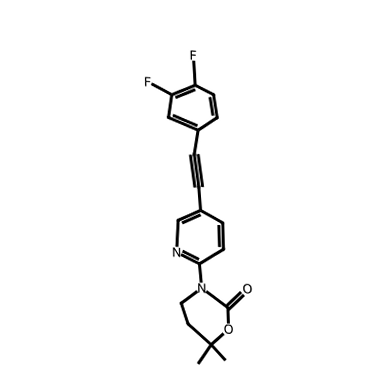 CC1(C)CCN(c2ccc(C#Cc3ccc(F)c(F)c3)cn2)C(=O)O1